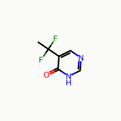 CC(F)(F)c1cnc[nH]c1=O